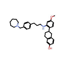 COc1ccc(C2CCc3cc(O)ccc3C2)c(NCCCc2ccc(CN3CCCCCC3)cc2)c1